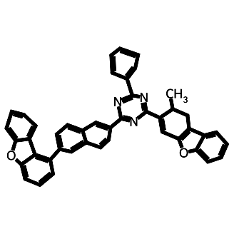 CC1Cc2c(oc3ccccc23)C=C1c1nc(-c2ccccc2)nc(-c2ccc3cc(-c4cccc5oc6ccccc6c45)ccc3c2)n1